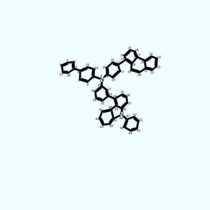 c1ccc(-c2ccc(N(c3ccc(-c4cccc5c4ccc4ccccc45)cc3)c3cccc(-c4cccc5c4c4ccccc4n5-c4ccccc4)c3)cc2)cc1